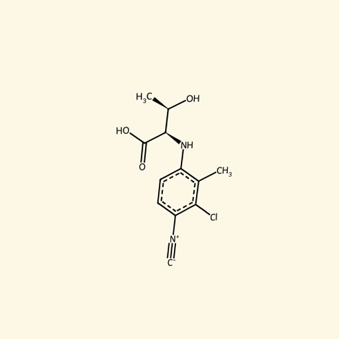 [C-]#[N+]c1ccc(N[C@@H](C(=O)O)[C@@H](C)O)c(C)c1Cl